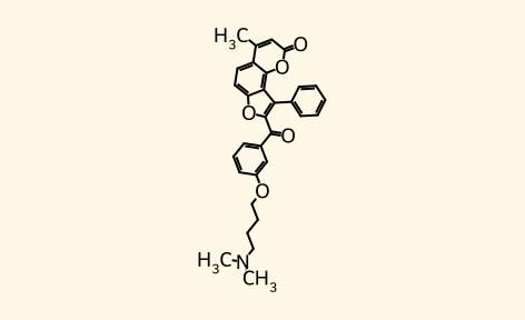 Cc1cc(=O)oc2c1ccc1oc(C(=O)c3cccc(OCCCCN(C)C)c3)c(-c3ccccc3)c12